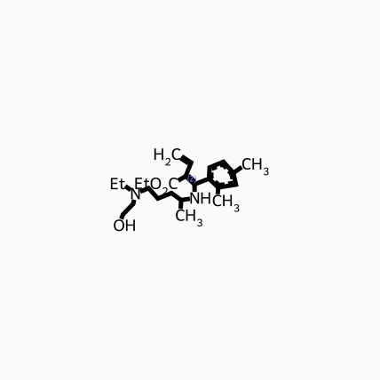 C=C/C(C(=O)OCC)=C(/NC(C)CCCN(CC)CCO)c1ccc(C)cc1C